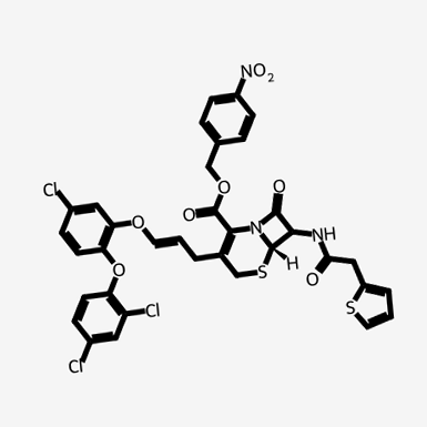 O=C(Cc1cccs1)NC1C(=O)N2C(C(=O)OCc3ccc([N+](=O)[O-])cc3)=C(CC=COc3cc(Cl)ccc3Oc3ccc(Cl)cc3Cl)CS[C@@H]12